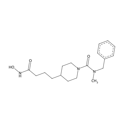 CN(Cc1ccccc1)C(=O)N1CCC(CCCC(=O)NO)CC1